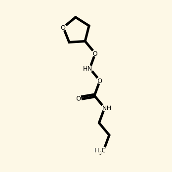 CCCNC(=O)ONOC1CCOC1